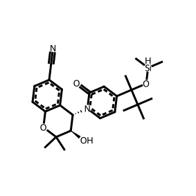 C[SiH](C)OC(C)(c1ccn([C@H]2c3cc(C#N)ccc3OC(C)(C)[C@@H]2O)c(=O)c1)C(C)(C)C